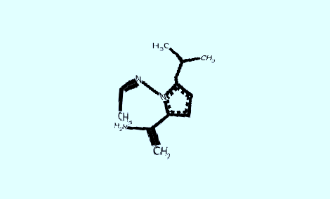 C=C(N)c1ccc(C(C)C)n1/N=C\C